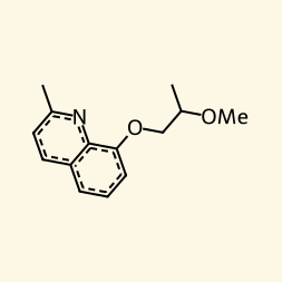 COC(C)COc1cccc2ccc(C)nc12